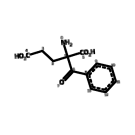 NC(CCC(=O)O)(C(=O)O)C(=O)c1ccccc1